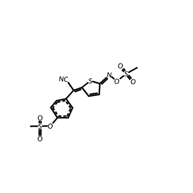 CS(=O)(=O)ON=C1C=C/C(=C(/C#N)c2ccc(OS(C)(=O)=O)cc2)S1